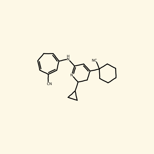 N#CC1=CC(NC2=NC(C3CC3)CC(C3(C#N)CCCCC3)=C2)=CCC=C1